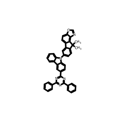 CC1(C)c2ccc(-n3c4ccccc4c4cc(-c5nc(-c6ccccc6)nc(-c6ccccc6)n5)ccc43)cc2-c2ccc3ocnc3c21